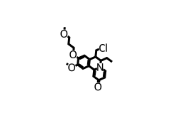 CCC1C(CCl)c2cc(OCCCOC)c(OC)cc2-c2cc(=O)ccn21